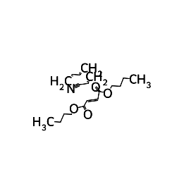 C=CC#N.C=CC=C.CCCCOC(=O)/C=C/C(=O)OCCCC